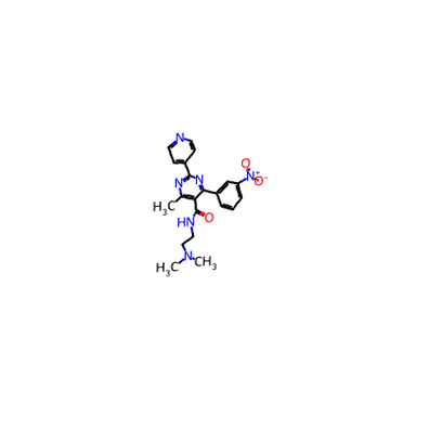 Cc1nc(-c2ccncc2)nc(-c2cccc([N+](=O)[O-])c2)c1C(=O)NCCN(C)C